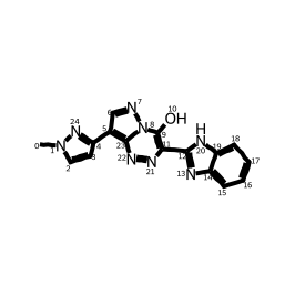 Cn1ccc(-c2cnn3c(O)c(-c4nc5ccccc5[nH]4)nnc23)n1